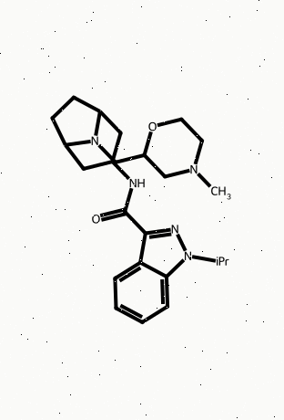 CC(C)n1nc(C(=O)NC2CC3CCC(C2)N3CC2CN(C)CCO2)c2ccccc21